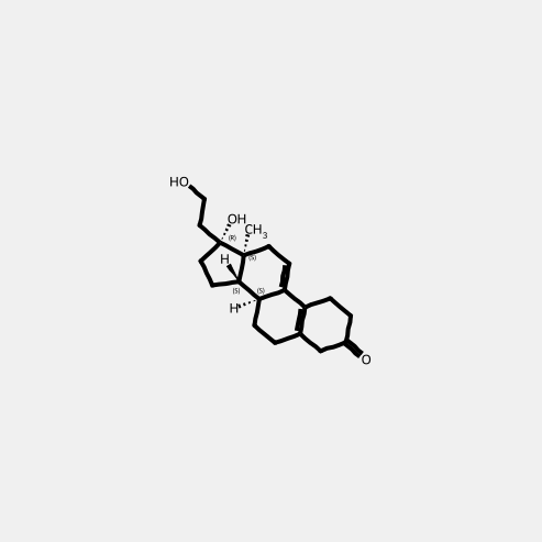 C[C@]12CC=C3C4=C(CC[C@H]3[C@@H]1CC[C@@]2(O)CCO)CC(=O)CC4